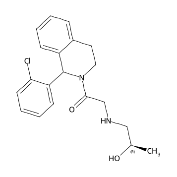 C[C@@H](O)CNCC(=O)N1CCc2ccccc2C1c1ccccc1Cl